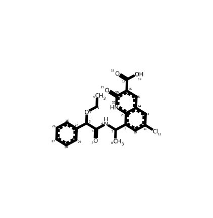 CCOC(C(=O)NC(C)c1cc(Cl)cc2cc(C(=O)O)c(=O)[nH]c12)c1ccccc1